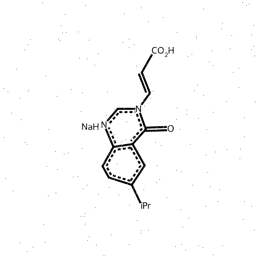 CC(C)c1ccc2ncn(/C=C/C(=O)O)c(=O)c2c1.[NaH]